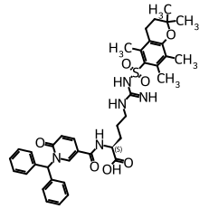 Cc1c(C)c(S(=O)(=O)NC(=N)NCCC[C@H](NC(=O)c2ccc(=O)n(C(c3ccccc3)c3ccccc3)c2)C(=O)O)c(C)c2c1OC(C)(C)CC2